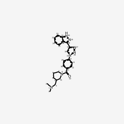 CN(C)CC1CCCN(C(=O)c2ccc(-n3cc(-c4n[nH]c5ccccc45)nn3)cc2)C1